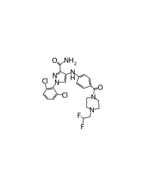 NC(=O)c1nn(-c2c(Cl)cccc2Cl)cc1Nc1ccc(C(=O)N2CCN(CC(F)F)CC2)cc1